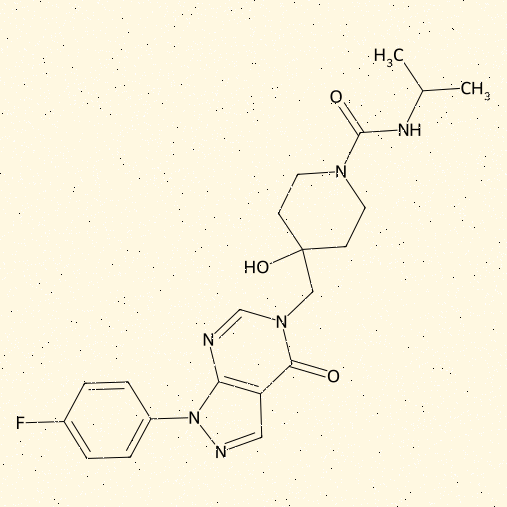 CC(C)NC(=O)N1CCC(O)(Cn2cnc3c(cnn3-c3ccc(F)cc3)c2=O)CC1